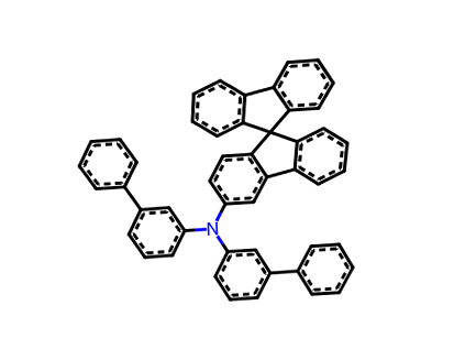 c1ccc(-c2cccc(N(c3cccc(-c4ccccc4)c3)c3ccc4c(c3)-c3ccccc3C43c4ccccc4-c4ccccc43)c2)cc1